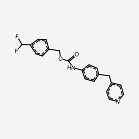 O=C(Nc1ccc(Cc2ccncc2)cc1)OCc1ccc(C(F)F)cc1